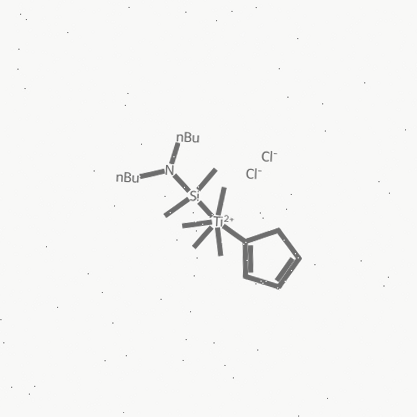 CCCCN(CCCC)[Si](C)(C)[Ti+2]([CH3])([CH3])([CH3])([CH3])[C]1=CC=CC1.[Cl-].[Cl-]